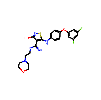 N=C(NCCN1CCOCC1)c1c(O)nsc1Nc1ccc(Oc2cc(F)cc(F)c2)cc1